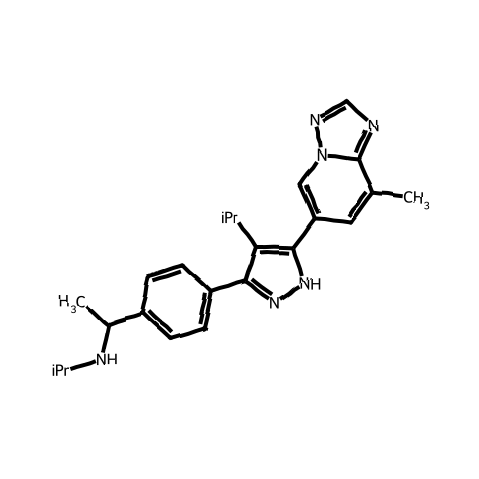 Cc1cc(-c2[nH]nc(-c3ccc(C(C)NC(C)C)cc3)c2C(C)C)cn2ncnc12